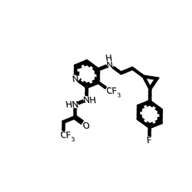 O=C(CC(F)(F)F)NNc1nccc(NCCC2CC2c2ccc(F)cc2)c1C(F)(F)F